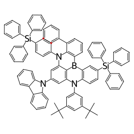 CC(C)(C)c1cc(N2c3ccc([Si](c4ccccc4)(c4ccccc4)c4ccccc4)cc3B3c4cccc(-c5ccccc5)c4N(c4ccc([Si](c5ccccc5)(c5ccccc5)c5ccccc5)cc4)c4cc(-n5c6ccccc6c6ccccc65)cc2c43)cc(C(C)(C)C)c1